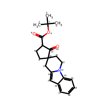 CC(C)(C)OC(=O)C1CCC2(CCn3c(cc4ccccc43)C2)C1=O